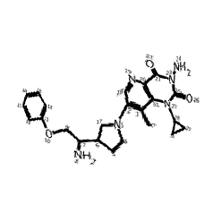 Cc1c(N2CCC(C(N)COc3ccccc3)C2)cnc2c(=O)n(N)c(=O)n(C3CC3)c12